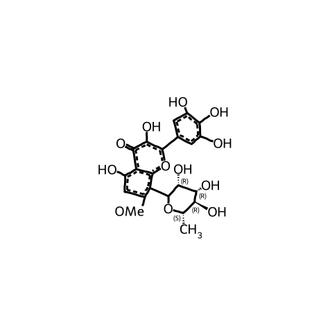 COc1cc(O)c2c(=O)c(O)c(-c3cc(O)c(O)c(O)c3)oc2c1C1O[C@@H](C)[C@H](O)[C@@H](O)[C@H]1O